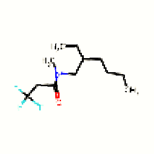 CCCCC(CC)CN(C)C(=O)CC(F)(F)F